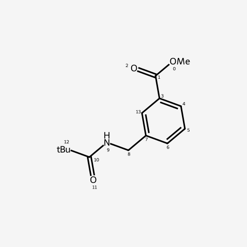 COC(=O)c1cccc(CNC(=O)C(C)(C)C)c1